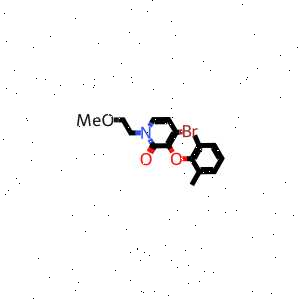 COCCn1ccc(Br)c(Oc2c(C)cccc2C)c1=O